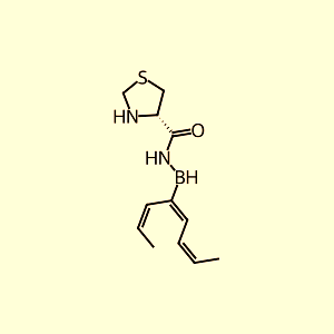 C\C=C/C=C(BNC(=O)[C@H]1CSCN1)\C=C/C